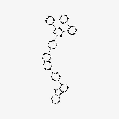 c1ccc(-c2nc(-c3ccc(-c4ccc5ccc(-c6ccc(-c7cccc8c7oc7ccccc78)cc6)cc5c4)cc3)nc(-c3ccccc3-c3ccccc3)n2)cc1